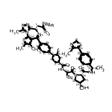 CNC(=O)C[C@@H]1N=C(c2ccc(-c3ccc(C(=O)NC(C(=O)N4C[C@H](O)C[C@H]4C(=O)N[C@@H](C)c4ccc(-c5scnc5C)cc4)C(C)(C)C)cc3F)cc2)c2c(sc(C)c2C)-n2c(C)nnc21